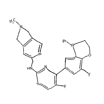 CC(C)N1CCOc2c(F)cc(-c3nc(Nc4cc5c(cn4)CN(C)C5)ncc3F)cc21